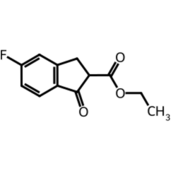 CCOC(=O)C1Cc2cc(F)ccc2C1=O